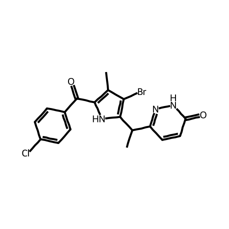 Cc1c(C(=O)c2ccc(Cl)cc2)[nH]c(C(C)c2ccc(=O)[nH]n2)c1Br